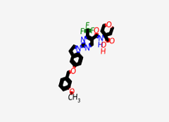 COc1cccc(COc2ccc3c(c2)CCN3c2ncc(C(=O)NC3(C(=O)O)CCOCC3)c(C(F)(F)F)n2)c1